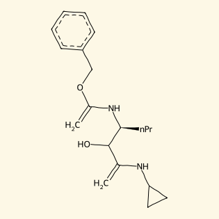 C=C(N[C@@H](CCC)C(O)C(=C)NC1CC1)OCc1ccccc1